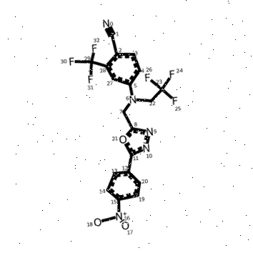 N#Cc1ccc(N(Cc2nnc(-c3ccc([N+](=O)[O-])cc3)o2)CC(F)(F)F)cc1C(F)(F)F